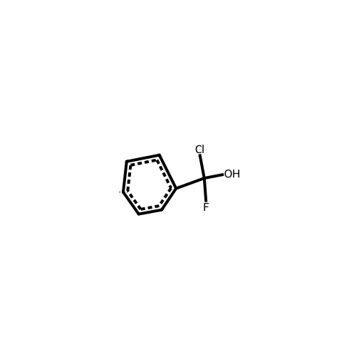 OC(F)(Cl)c1cc[c]cc1